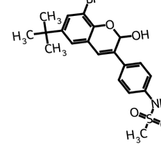 CC(C)(C)c1cc(Br)c2c(c1)C=C(c1ccc(NS(C)(=O)=O)cc1)C(O)O2